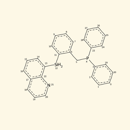 c1ccc(P(Cc2ccccc2[SiH2]c2cccc3cccnc23)c2ccccc2)cc1